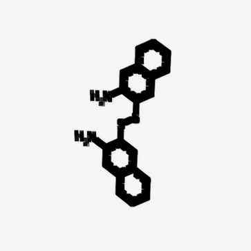 Nc1cc2ccccc2cc1SSc1cc2ccccc2cc1N